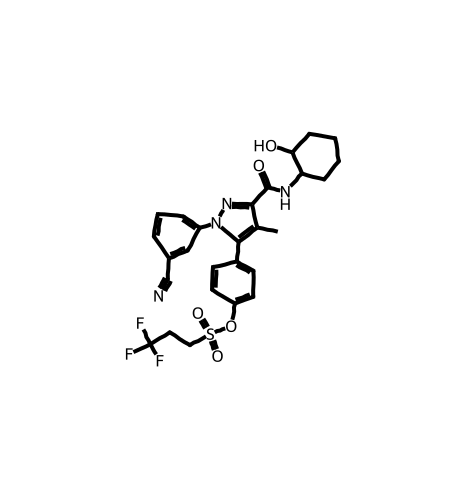 Cc1c(C(=O)NC2CCCCC2O)nn(-c2cccc(C#N)c2)c1-c1ccc(OS(=O)(=O)CCC(F)(F)F)cc1